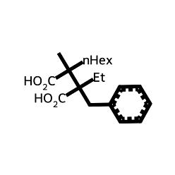 CCCCCCC(C)(C(=O)O)C(CC)(Cc1ccccc1)C(=O)O